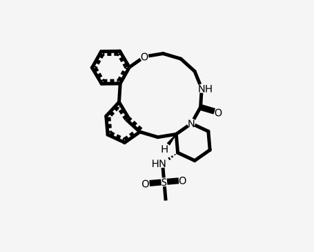 CS(=O)(=O)N[C@H]1CCCN2C(=O)NCCCOc3ccccc3-c3cccc(c3)C[C@@H]12